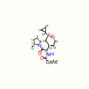 COC(=O)N[C@H](C(=O)N1CCC[C@@H]1C)[C@@H]1CCO[C@H](C2CC2)C1